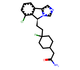 NC(=O)CC1CCC(F)(CC[C@H]2c3c(Cl)cccc3-c3cncn32)CC1